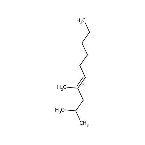 CCCCC/C=C(\C)CC(C)C